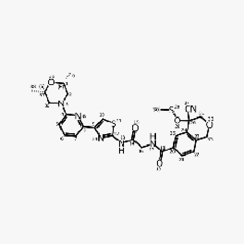 C[C@@H]1CN(c2cccc(-c3csc(NC(=O)CNC(=O)c4ccc5c(c4)C(C#N)(OSI)COC5)n3)n2)C[C@H](C)O1